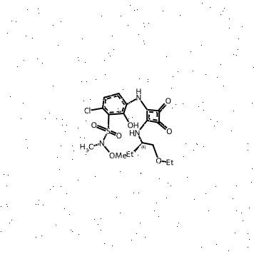 CCOC[C@@H](CC)Nc1c(Nc2ccc(Cl)c(S(=O)(=O)N(C)OC)c2O)c(=O)c1=O